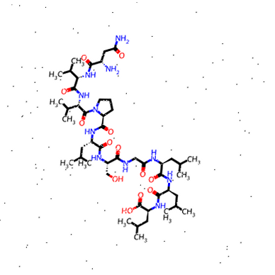 CC(C)C[C@H](NC(=O)[C@H](CC(C)C)NC(=O)[C@H](CC(C)C)NC(=O)CNC(=O)[C@H](CO)NC(=O)[C@H](CC(C)C)NC(=O)[C@@H]1CCCN1C(=O)[C@@H](NC(=O)[C@@H](NC(=O)[C@@H](N)CC(N)=O)C(C)C)C(C)C)C(=O)O